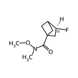 CON(C)C(=O)C12CC(C1)[C@@H](F)C2